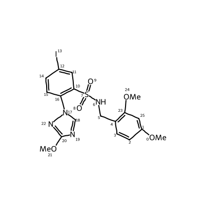 COc1ccc(CNS(=O)(=O)c2cc(I)ccc2-n2cnc(OC)n2)c(OC)c1